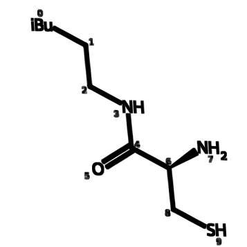 CCC(C)CCNC(=O)[C@@H](N)CS